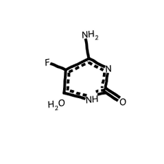 Nc1nc(=O)[nH]cc1F.O